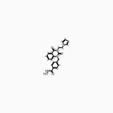 O=C(NO)c1ccc(Cn2c(=O)n(CCn3ccnc3)c(=O)c3ccccc32)cc1